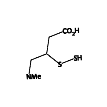 CNCC(CC(=O)O)SS